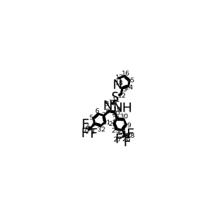 FC(F)(F)c1ccc(-c2nc(SCc3ccccn3)[nH]c2-c2ccc(C(F)(F)F)cc2)cc1